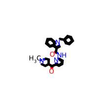 CN1CCC(C(=O)c2cccc(NC(=O)c3cn(Cc4ccccc4)c4ccccc34)n2)CC1